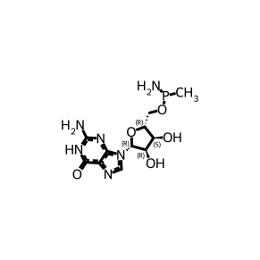 CP(N)OC[C@H]1O[C@@H](n2cnc3c(=O)[nH]c(N)nc32)[C@H](O)[C@@H]1O